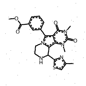 COC(=O)c1cccc(-c2c3c(=O)n(C)c(=O)n(C)c3c3n2CCNC3c2nc(C)cs2)c1